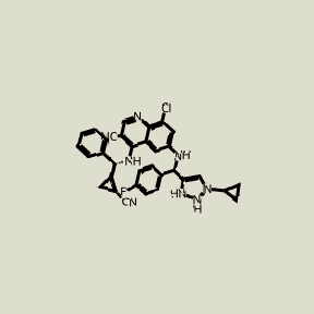 N#Cc1cnc2c(Cl)cc(NC(C3=CN(C4CC4)NN3)c3ccc(F)cc3)cc2c1N[C@@H](c1ccccc1)C1C[C@@H]1C#N